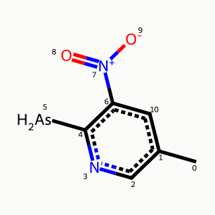 Cc1cnc([AsH2])c([N+](=O)[O-])c1